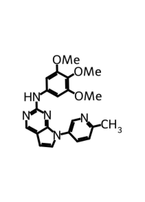 COc1cc(Nc2ncc3ccn(-c4ccc(C)nc4)c3n2)cc(OC)c1OC